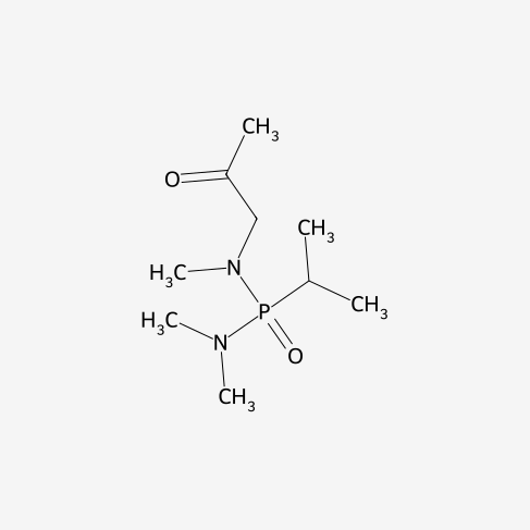 CC(=O)CN(C)P(=O)(C(C)C)N(C)C